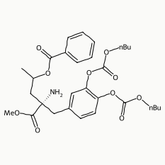 CCCCOC(=O)Oc1ccc(C[C@](N)(CC(C)OC(=O)c2ccccc2)C(=O)OC)cc1OC(=O)OCCCC